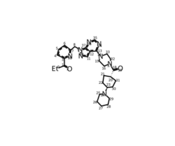 CCC(=O)c1cccc(Cn2ncc3c(N4CCN(C(=O)[C@H]5CC[C@H](N6CCCCC6)CC5)CC4)ncnc32)n1